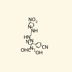 N#Cc1ccc(-c2nc(NCCNc3ccc([N+](=O)[O-])cn3)ncc2N(C=O)CCO)cc1